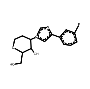 OCC1OCCC(n2cnc(-c3cccc(F)c3)c2)C1O